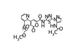 COCCOc1c(-c2ncccc2C#N)cc(C(=O)Nc2nnc(-n3nccc3NC(C)=O)s2)oc1=O